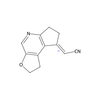 N#C/C=C1\CCc2ncc3c(c21)CCO3